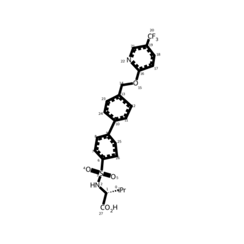 CC(C)[C@@H](NS(=O)(=O)c1ccc(-c2ccc(COc3ccc(C(F)(F)F)cn3)cc2)cc1)C(=O)O